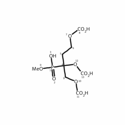 COP(=O)(O)C(CCOC(=O)O)(COC(=O)O)OC(=O)O